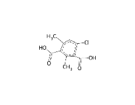 Cc1cc(Cl)c(C(=O)O)c(C)c1C(=O)O